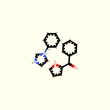 O=C(c1ccccc1)c1ccco1.c1ccc(-n2ccnc2)cc1